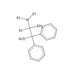 CCN(CC)C(C)(CC)C(OC(C)=O)(c1ccccc1)c1ccccc1